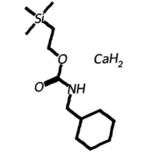 C[Si](C)(C)CCOC(=O)NCC1CCCCC1.[CaH2]